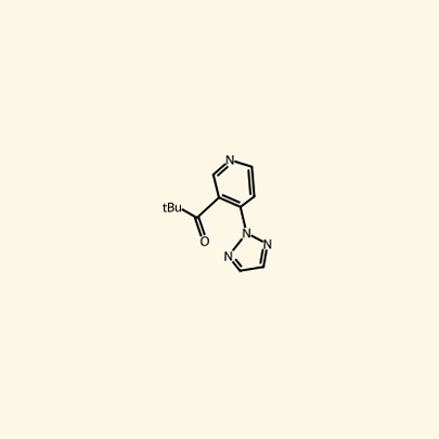 CC(C)(C)C(=O)c1cnccc1-n1nccn1